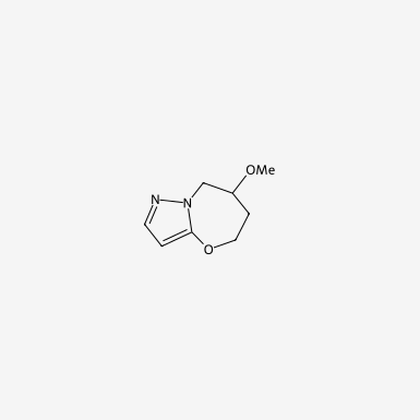 COC1CCOc2ccnn2C1